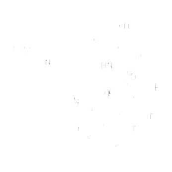 CS(=O)(=O)NS(=O)(=O)C(F)(F)C(F)(F)C(F)(F)S(=O)(=O)N1CCN(C(=O)O)CC1